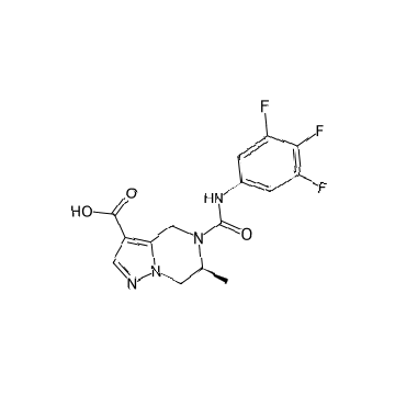 C[C@H]1Cn2ncc(C(=O)O)c2CN1C(=O)Nc1cc(F)c(F)c(F)c1